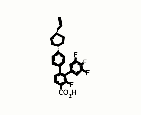 C=CC[C@H]1CC[C@H](c2ccc(-c3ccc(C(=O)O)c(F)c3-c3cc(F)c(F)c(F)c3)cc2)CC1